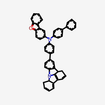 C1=CCC2C(=C1)C1=C3C(CC=C1)c1cc(-c4ccc(N(c5ccc(-c6ccccc6)cc5)c5ccc6oc7ccccc7c6c5)cc4)ccc1N32